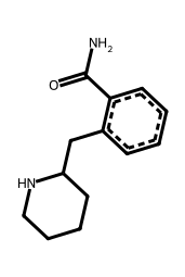 NC(=O)c1ccccc1CC1CCCCN1